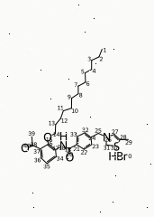 Br.CCCCCCCCCCCCCCOc1c(NC(=O)c2ccc(CN3C=C(C)SC3)cc2)cccc1C(C)=O